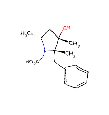 C[C@@H]1C[C@](C)(O)[C@](C)(Cc2ccccc2)N1C(=O)O